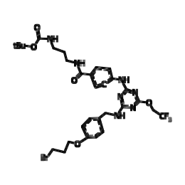 CC(C)(C)OC(=O)NCCCNC(=O)c1ccc(Nc2nc(NCc3ccc(OCCCBr)cc3)nc(OCC(F)(F)F)n2)cc1